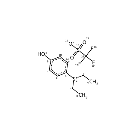 CC[S+](CC)c1ccc(O)cc1.O=S(=O)([O-])C(F)(F)F